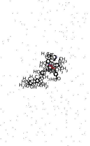 C#C/C=C\C#C[C@H](O[C@@H]1O[C@H](C)[C@@H](NO[C@H]2C[C@H](O)[C@H](SC(=O)c3c(C)c(I)c(O[C@@H]4O[C@@H](C)[C@H](O)[C@@H](OC)[C@H]4O)c(OC)c3OC)[C@@H](C)O2)[C@H](O)[C@H]1O[C@H]1C[C@H](OC)[C@@H](NCC)CO1)C1=C(NC(=O)OC)C(=O)C[C@](C)(O)/C1=C/CSSC(C)(C)c1ccc(C(=O)O)cc1